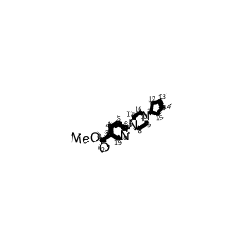 COC(=O)c1ccc(N2CCN(C3CCCC3)CC2)nc1